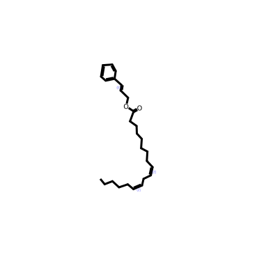 CCCCC/C=C\C/C=C\CCCCCCCC(=O)OC/C=C/c1ccccc1